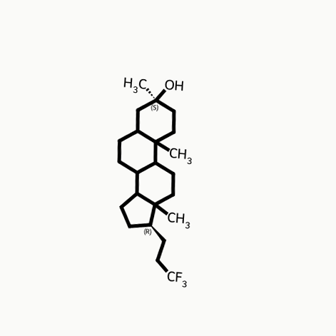 CC12CC[C@](C)(O)CC1CCC1C2CCC2(C)C1CC[C@@H]2CCC(F)(F)F